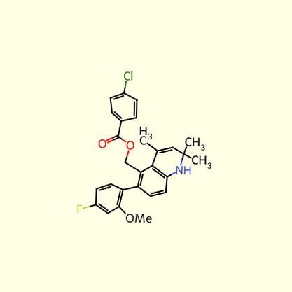 COc1cc(F)ccc1-c1ccc2c(c1COC(=O)c1ccc(Cl)cc1)C(C)=CC(C)(C)N2